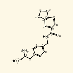 N[C@@H](Cc1ccc(CNC(=O)c2ccc3c(c2)OCO3)cc1)C(=O)O